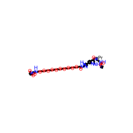 CCCN(CCCNC(=O)OC1CCC1)C(=O)C1=Cc2ccc(-c3cnc(CNC(=O)CCOCCOCCOCCOCCOCCOCCOCCOCCOCCOCCNC(=O)CN4C(=O)C=CC4=O)nc3)cc2N=C(N)C1